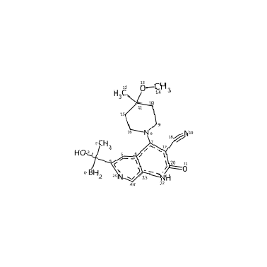 BC(C)(O)c1cc2c(N3CCC(C)(OC)CC3)c(C#N)c(=O)[nH]c2cn1